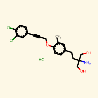 Cl.NC(CO)(CO)CCc1ccc(OCC#Cc2ccc(Cl)c(Cl)c2)c(C(F)(F)F)c1